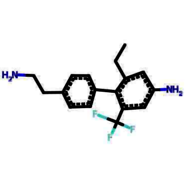 CCc1cc(N)cc(C(F)(F)F)c1-c1ccc(CCN)cc1